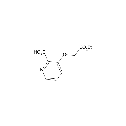 CCOC(=O)COc1cccnc1C(=O)O